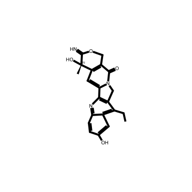 CCc1c2c(nc3ccc(O)cc13)-c1cc3c(c(=O)n1C2)COC(=N)[C@@]3(C)O